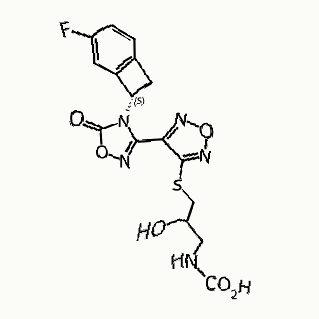 O=C(O)NCC(O)CSc1nonc1-c1noc(=O)n1[C@H]1Cc2ccc(F)cc21